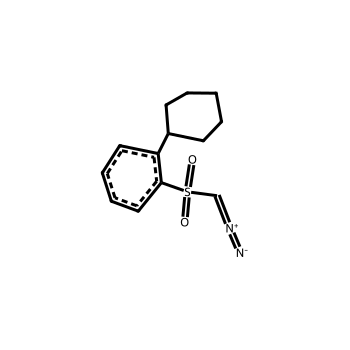 [N-]=[N+]=CS(=O)(=O)c1ccccc1C1CCCCC1